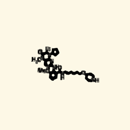 CC[C@@H]1C(=O)N(C)c2cnc(Nc3c(OC)cccc3C(=O)NCCCCCCOC3CCNCC3)nc2N1C1CCCC1